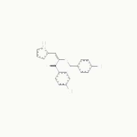 O=C(C(=Cc1ccc[nH]1)SCc1ccc(Cl)cc1)c1ccc(Cl)cc1